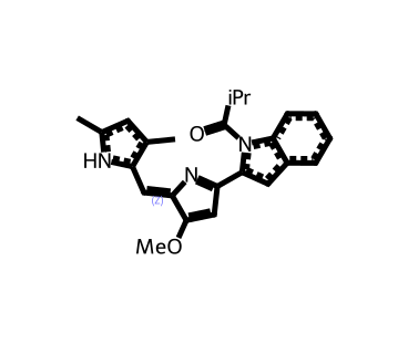 COC1=CC(c2cc3ccccc3n2C(=O)C(C)C)=N/C1=C\c1[nH]c(C)cc1C